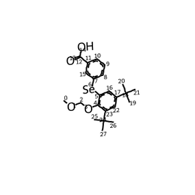 COCOc1c([Se]c2cccc(C(=O)O)c2)cc(C(C)(C)C)cc1C(C)(C)C